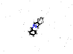 CCC[C@@H]1CN(Cc2ccccc2)C[C@@H]1C